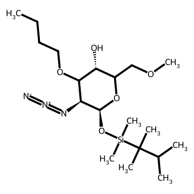 CCCCOC1[C@H](O)C(COC)O[C@@H](O[Si](C)(C)C(C)(C)C(C)C)[C@H]1N=[N+]=[N-]